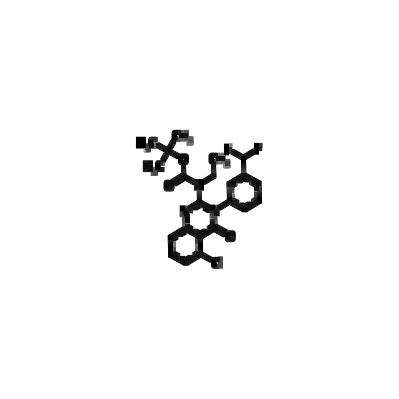 CCN(C(=O)OC(C)(C)C)c1nc2cccc(Cl)c2c(=O)n1-c1cccc(C(F)F)c1